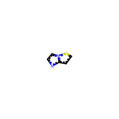 [c]1csn2[c]cnc12